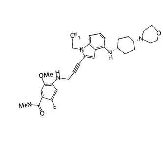 CNC(=O)c1cc(OC)c(NCC#Cc2cc3c(N[C@H]4CC[C@@H](N5CCOCC5)CC4)cccc3n2CC(F)(F)F)cc1F